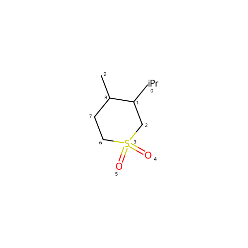 CC(C)C1CS(=O)(=O)CCC1C